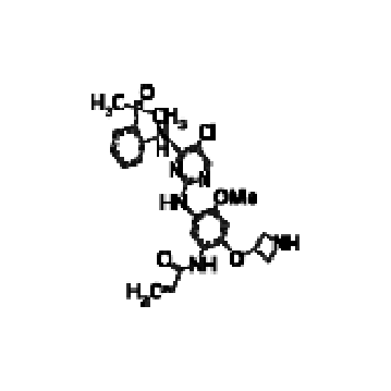 C=CC(=O)Nc1cc(Nc2ncc(Cl)c(Nc3ccccc3P(C)(C)=O)n2)c(OC)cc1OC1CNC1